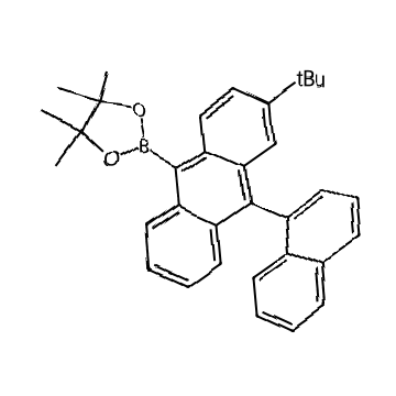 CC(C)(C)c1ccc2c(B3OC(C)(C)C(C)(C)O3)c3ccccc3c(-c3cccc4ccccc34)c2c1